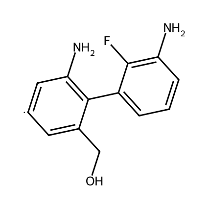 Nc1cccc(-c2c(N)c[c]cc2CO)c1F